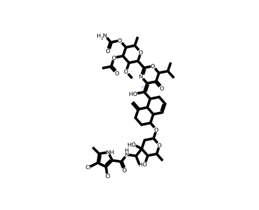 C=C1CCC(OC2CC(O)(C(C)NC(=O)c3[nH]c(C)c(Cl)c3Cl)C(O)C(C)O2)C2C=CCC(/C(O)=C3/N=C(C4OC(C)C(OC(N)=O)C(OC(C)=O)C4OC)OC(C(C)C)C3=O)C12